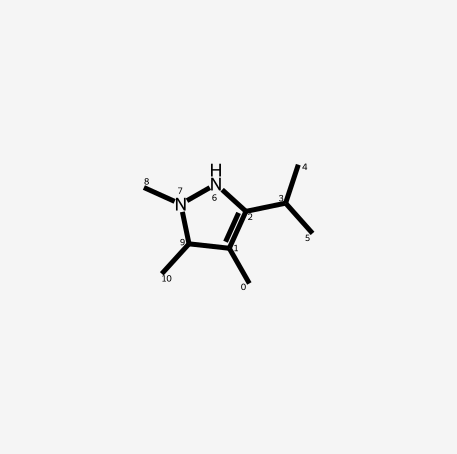 CC1=C(C(C)C)NN(C)C1C